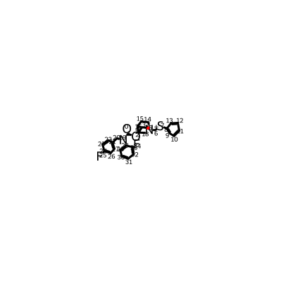 O=C(OC1C[N+]2(CSc3ccccc3)CCC1CC2)N(Cc1ccc(F)cc1)c1ccccc1F